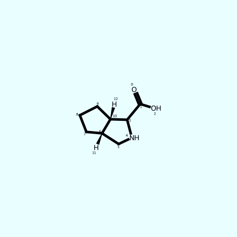 O=C(O)C1NC[C@@H]2CCC[C@H]12